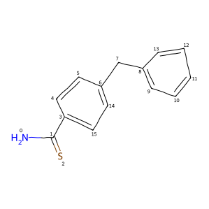 NC(=S)c1ccc(Cc2ccccc2)cc1